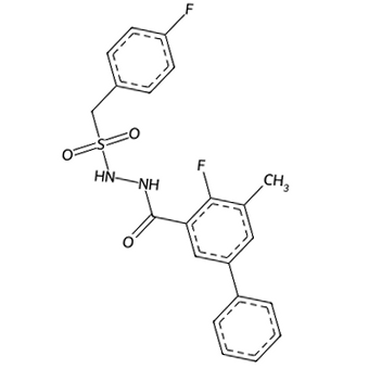 Cc1cc(-c2ccccc2)cc(C(=O)NNS(=O)(=O)Cc2ccc(F)cc2)c1F